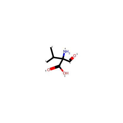 CC(C)C(N)(C=O)C(=O)O